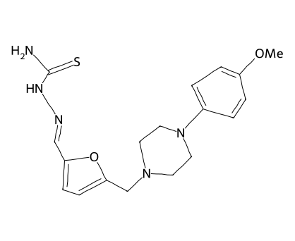 COc1ccc(N2CCN(Cc3ccc(C=NNC(N)=S)o3)CC2)cc1